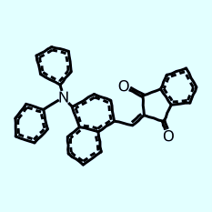 O=C1C(=Cc2ccc(N(c3ccccc3)c3ccccc3)c3ccccc23)C(=O)c2ccccc21